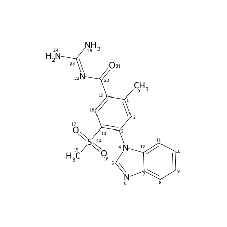 Cc1cc(-n2cnc3ccccc32)c(S(C)(=O)=O)cc1C(=O)N=C(N)N